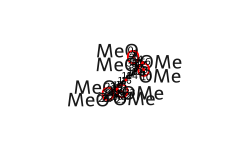 COCOc1cc(OC)c(OCOC)c(CCCCCCCCc2c(OC)c(OCOC)cc(OC)c2OCOC)c1OC